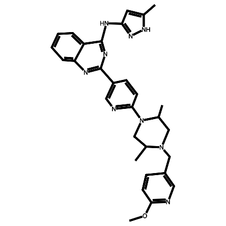 COc1ccc(CN2CC(C)N(c3ccc(-c4nc(Nc5cc(C)[nH]n5)c5ccccc5n4)cn3)CC2C)cn1